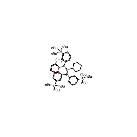 CCCC[Si](CCCC)(CCCC)c1cccc(P(c2cccc([Si](CCCC)(CCCC)CCCC)c2)N(C2CCCCC2)P(c2cccc([Si](CCCC)(CCCC)CCCC)c2)c2ccccc2C)c1